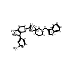 Cc1cc(C2NNC3=C2CN(C(=O)NC2(C)CCCN(Cc4csc5ccccc45)C2)CC3)ccn1